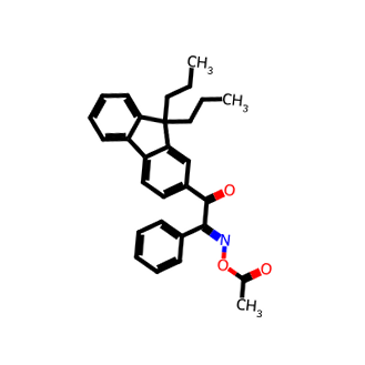 CCCC1(CCC)c2ccccc2-c2ccc(C(=O)/C(=N/OC(C)=O)c3ccccc3)cc21